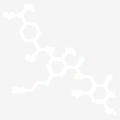 COCCOc1cc(NC(C)C2CCC(N(C)C)CC2)c(C)c(C(=O)NCc2c(C)cc(C)[nH]c2=O)c1